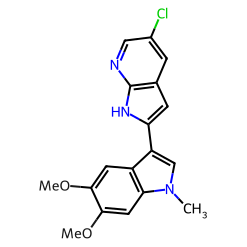 COc1cc2c(-c3cc4cc(Cl)cnc4[nH]3)cn(C)c2cc1OC